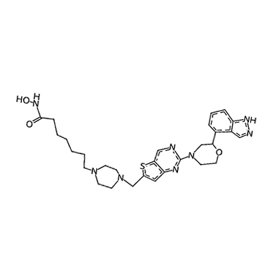 O=C(CCCCCCN1CCN(Cc2cc3nc(N4CCOC(c5cccc6[nH]ncc56)C4)ncc3s2)CC1)NO